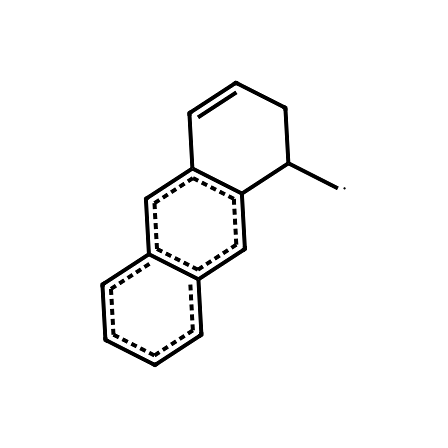 [CH2]C1CC=Cc2cc3ccccc3cc21